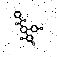 O=C(C(=O)N1CCN(c2ccc(Cl)cc2Cl)C(c2ccc(Cl)cc2)C1)c1ccccc1